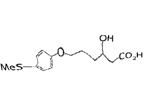 CSc1ccc(OCCCC(O)CC(=O)O)cc1